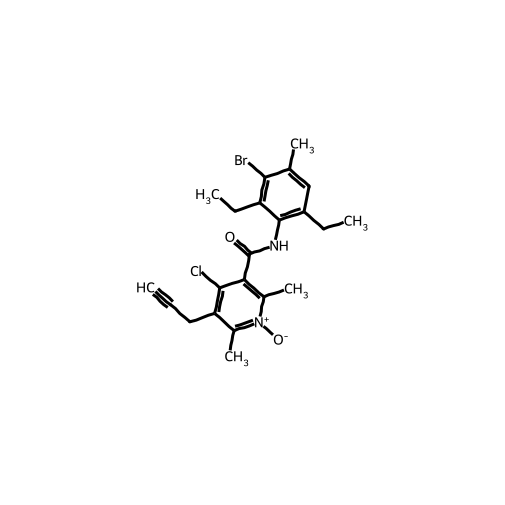 C#CCc1c(Cl)c(C(=O)Nc2c(CC)cc(C)c(Br)c2CC)c(C)[n+]([O-])c1C